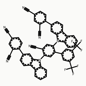 N#Cc1ccc(-c2ccc3c4ccccc4n(-c4cc(-c5cc(C(F)(F)F)cc(C(F)(F)F)c5)c(-n5c6ccccc6c6ccc(-c7ccc(C#N)cc7C#N)cc65)cc4C#N)c3c2)c(C#N)c1